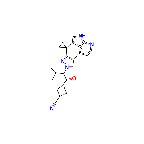 CC(C)C(C(=O)C1CC(C#N)C1)n1cc2c(n1)C1(CC1)c1c[nH]c3nccc-2c13